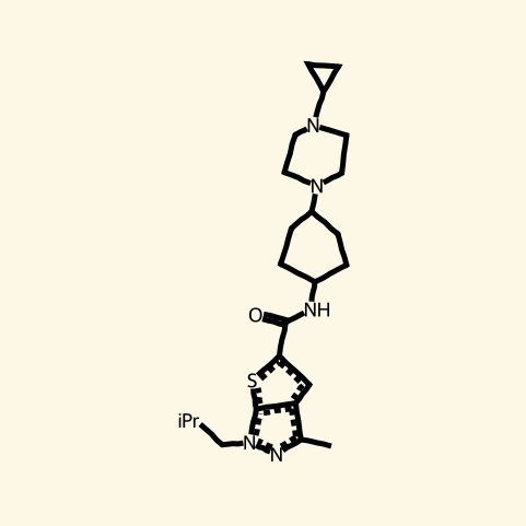 Cc1nn(CC(C)C)c2sc(C(=O)NC3CCC(N4CCN(C5CC5)CC4)CC3)cc12